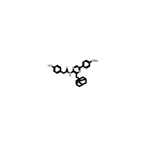 COc1ccc(-c2cnc(NC(=O)Cc3ccc(O)cc3)c(CC34CC5CC(CC(C5)C3)C4)n2)cc1